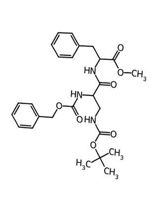 COC(=O)C(Cc1ccccc1)NC(=O)C(CNC(=O)OC(C)(C)C)NC(=O)OCc1ccccc1